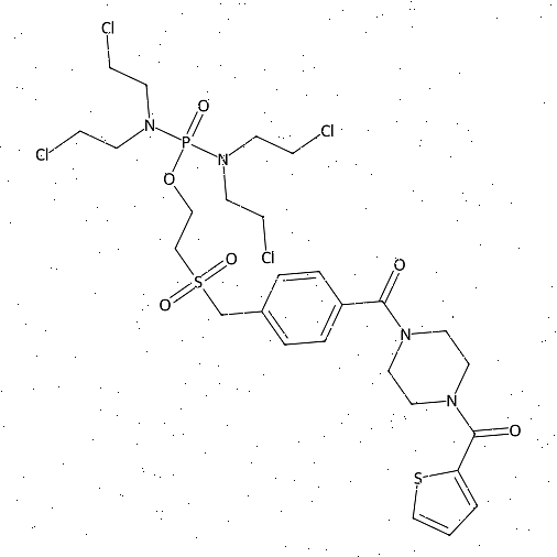 O=C(c1ccc(CS(=O)(=O)CCOP(=O)(N(CCCl)CCCl)N(CCCl)CCCl)cc1)N1CCN(C(=O)c2cccs2)CC1